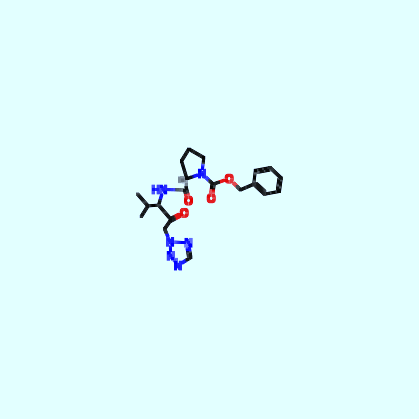 CC(C)C(NC(=O)[C@@H]1CCCN1C(=O)OCc1ccccc1)C(=O)Cn1ncnn1